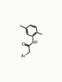 CC(=O)CC(=O)Nc1cc(C)ccc1C